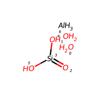 O.O.O=[Si](O)O.[AlH3]